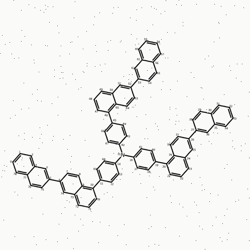 c1ccc2cc(-c3ccc4c(-c5ccc(N(c6ccc(-c7cccc8cc(-c9ccc%10ccccc%10c9)ccc78)cc6)c6ccc(-c7cccc8cc(-c9ccc%10ccccc%10c9)ccc78)cc6)cc5)cccc4c3)ccc2c1